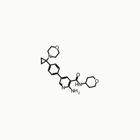 Nc1ncc(-c2ccc(C3(N4CCOCC4)CC3)cc2)cc1C(=O)NC1CCOCC1